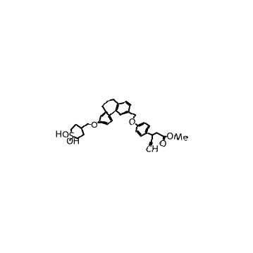 C#CC(CC(=O)OC)c1ccc(OCc2ccc3c(c2)-c2ccc(OCC4CCS(O)(O)CC4)cc2CCC3)cc1